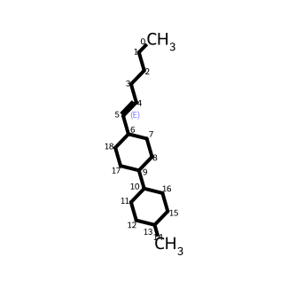 CCCC/C=C/C1CCC(C2CCC(C)CC2)CC1